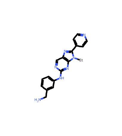 CCn1c(-c2ccncc2)nc2cnc(Nc3cccc(CN)c3)nc21